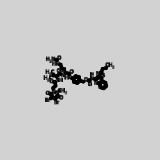 CCCc1nc2c(NC(=O)OCc3ccc(NC(=O)[C@H](CCCNC(N)=O)NC(=O)[C@@H](NC(=O)CCn4c(=O)c(Br)c(Br)c(=O)n4C)C(C)C)cc3)nc3ccccc3c2s1